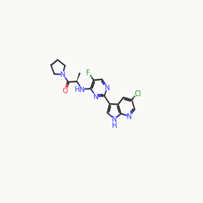 C[C@@H](Nc1nc(-c2c[nH]c3ncc(Cl)cc23)ncc1F)C(=O)N1CCCC1